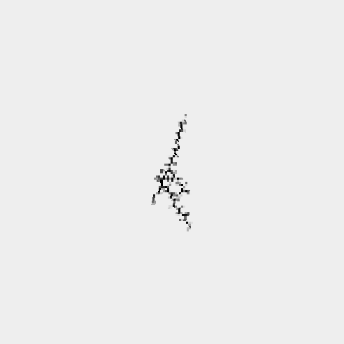 CCCCCCCCCCCCCC(COC(=O)C(CCCC)CCCCCCCCCCCC)OC(=O)CCCN(C)C